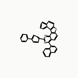 c1ccc(-c2ccc(-c3nc(-c4cccc5ccccc45)c4ccc5sc6ccc7ccccc7c6c5c4n3)cc2)cc1